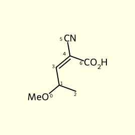 COC(C)C=C(C#N)C(=O)O